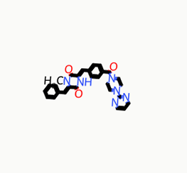 Cn1c(=O)c(=Cc2ccc(C(=O)N3CCN(c4ncccn4)CC3)cc2)[nH]c(=O)c1=Cc1ccccc1